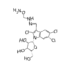 NOCN/N=C/c1c(Cl)n([C@@H]2O[C@H](CO)C(O)C2O)c2cc(Cl)c(Cl)cc12